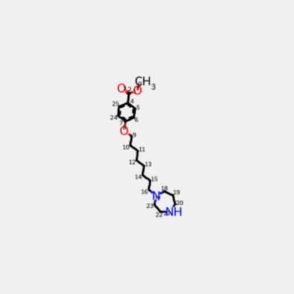 COC(=O)c1ccc(OCCCCCCCCN2CCCNCC2)cc1